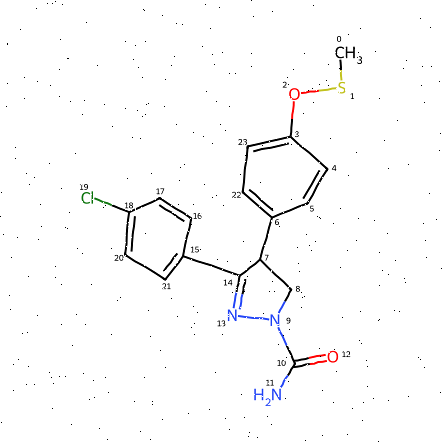 CSOc1ccc(C2CN(C(N)=O)N=C2c2ccc(Cl)cc2)cc1